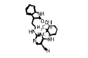 CC1(C)[C@@H](Nc2nc(NCCC3C(=O)Nc4ccccc43)ncc2C#N)CCC[C@@H]1O